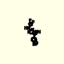 FC1(F)CC(Nc2ncc3c(-c4ccc5nccn5c4)c[nH]c3n2)C1